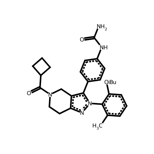 Cc1cccc(OCC(C)C)c1-n1nc2c(c1-c1ccc(NC(N)=O)cc1)CN(C(=O)C1CCC1)CC2